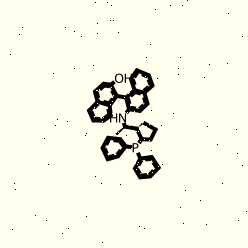 C[C@@H](Nc1ccc2ccccc2c1-c1c(O)ccc2ccccc12)[C@@H]1CCCC1P(c1ccccc1)c1ccccc1